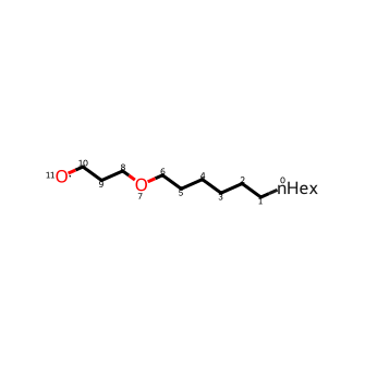 CCCCCCCCCCCCOCCC[O]